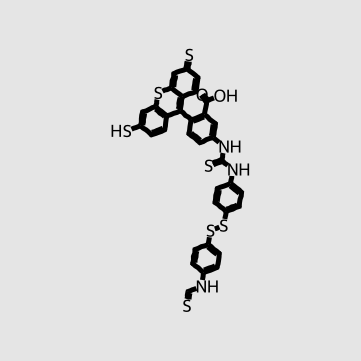 O=C(O)c1cc(NC(=S)Nc2ccc(SSc3ccc(NC=S)cc3)cc2)ccc1-c1c2ccc(=S)cc-2sc2cc(S)ccc12